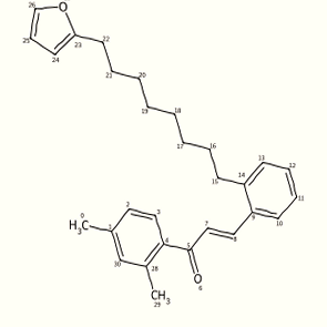 Cc1ccc(C(=O)/C=C/c2ccccc2CCCCCCCCc2ccco2)c(C)c1